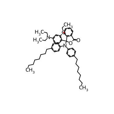 CCCCCCCCc1ccc(N(c2ccc(CCCCCCCC)cc2)C2(c3ccc(N(CC)CC)cc3OCC)OC(=O)c3ccccc32)cc1